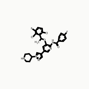 CC(Oc1cc(-c2cnn(C3CCNCC3)c2)cnc1NC(=O)c1ccc(F)cc1)c1c(Cl)ccc(F)c1Cl